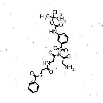 CC(C)(C)OC(=O)Nc1cccc(S(=O)(=O)N(C(=O)CN)C(=O)CNC(=O)CSC(=O)c2ccccc2)c1